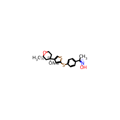 CO[C@@]1(c2csc(Sc3ccc(/C(C)=N\O)cc3)c2)CCO[C@@H](C)C1